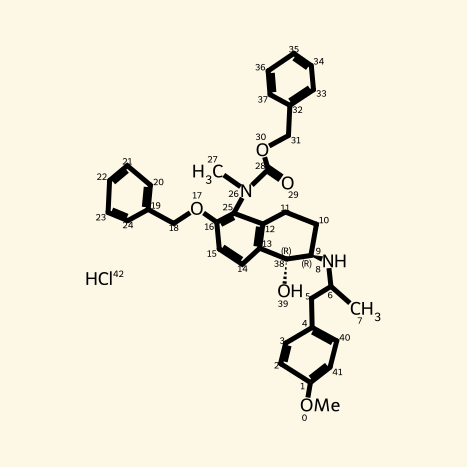 COc1ccc(CC(C)N[C@@H]2CCc3c(ccc(OCc4ccccc4)c3N(C)C(=O)OCc3ccccc3)[C@H]2O)cc1.Cl